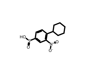 O=[N+]([O-])c1cc(S(=O)O)ccc1C1CCCCC1